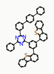 c1ccc(-c2ccc(-c3cccc(-c4nc(-c5ccccc5)nc(-c5cc(-c6cccc7c6sc6ccccc67)cc(-c6cccc7c6sc6ccccc67)c5)n4)c3)cc2)cc1